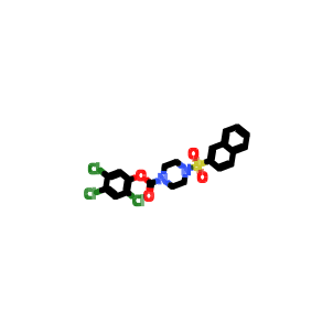 O=C(Oc1cc(Cl)c(Cl)cc1Cl)N1CCN(S(=O)(=O)c2ccc3ccccc3c2)CC1